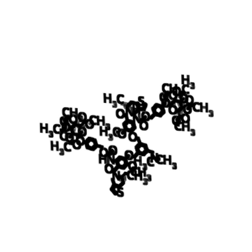 CC[C@@H]1Cc2sccc2CN1C(=O)c1cc(OC)c(OCc2cc(COc3cc(NC(=O)OCc4ccc(O[C@@H]5O[C@H](C(=O)OC)[C@H](OC(C)=O)[C@H](OC(C)=O)C5OC(C)=O)cc4)c(C(=O)N4Cc5ccsc5C[C@@H]4CC)cc3OC)cc(CN(C)C)c2)cc1NC(=O)OCc1ccc(O[C@@H]2O[C@H](C(=O)OC)[C@H](OC(C)=O)[C@H](OC(C)=O)C2OC(C)=O)cc1